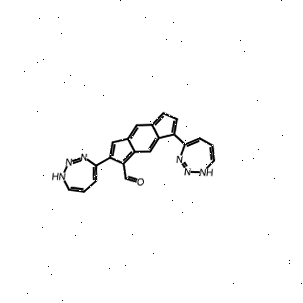 O=CC1=c2cc3c(cc2C=C1C1=CC=CNN=N1)=CC=C3C1=CC=CNN=N1